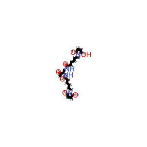 CC(=O)C(CNC(=O)CCCCCN1C(=O)C=CC1O)NC(=O)CCCCCN1C(=O)C=CC1=O